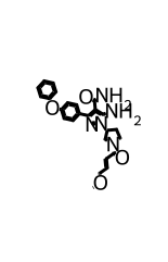 COC/C=C/C(=O)N1CCC(n2nc(-c3ccc(Oc4ccccc4)cc3)c(C(N)=O)c2N)C1